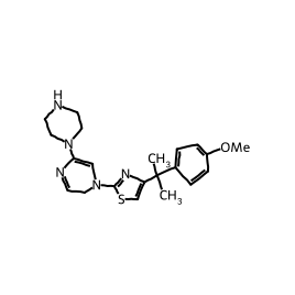 COc1ccc(C(C)(C)c2csc(N3C=C(N4CCNCC4)N=CC3)n2)cc1